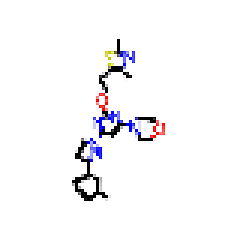 Cc1cccc(-c2ccn(-c3cc(N4CCOCC4)nc(OCCc4sc(C)nc4C)n3)n2)c1